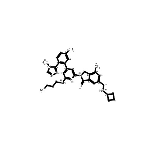 Cc1ccc(-c2nncn2C)c(-c2cc(NCCCC#N)nc(N3Cc4c(cc(CNC5CCC5)cc4C(F)(F)F)C3=O)c2)c1